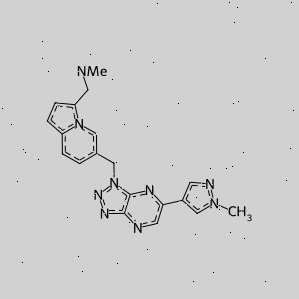 CNCc1ccc2ccc(Cn3nnc4ncc(-c5cnn(C)c5)nc43)cn12